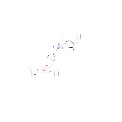 Cc1c(F)c(F)cc(N(C)C(=O)Nc2ccc(B3OC(C)(C)C(C)(C)O3)cc2)c1F